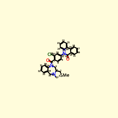 CSCC1CN(C(=O)c2ccc(NC(=O)c3ccccc3-c3ccccc3)cc2Cl)c2ccccc2CN1C